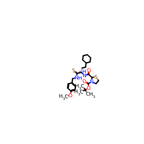 COc1ccc(CNC(=S)[C@H](CCC2CCCCC2)NC(=O)C2SCCN2C(=O)OC(C)(C)C)cc1